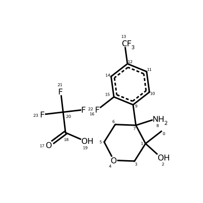 CC1(O)COCCC1(N)c1ccc(C(F)(F)F)cc1F.O=C(O)C(F)(F)F